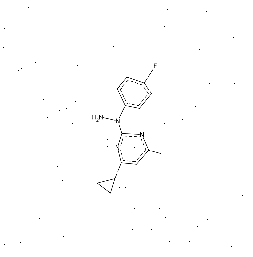 Cc1cc(C2CC2)nc(N(N)c2ccc(F)cc2)n1